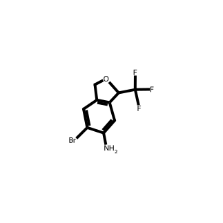 Nc1cc2c(cc1Br)COC2C(F)(F)F